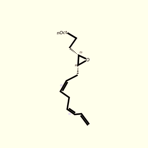 C=C/C=C\C/C=C\C[C@H]1O[C@H]1CCCCCCCCCC